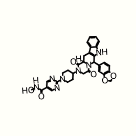 O=C(NO)c1cnc(N2CCC(N3CC(=O)N4C(c5ccc6c(c5)OCO6)c5[nH]c6ccccc6c5C[C@H]4C3=O)CC2)nc1